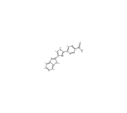 O=[N+]([O-])c1ccc(-c2nc(-c3cc4ccccc4o3)cs2)cc1